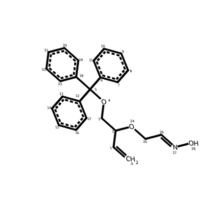 C=CC(COC(c1ccccc1)(c1ccccc1)c1ccccc1)OCC=NO